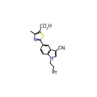 Cc1nc(-c2ccc3c(c2)c(C#N)cn3CCC(C)C)sc1C(=O)O